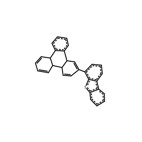 C1=CC2c3ccccc3C3C=C(c4cccc5c4sc4ccccc45)C=CC3C2C=C1